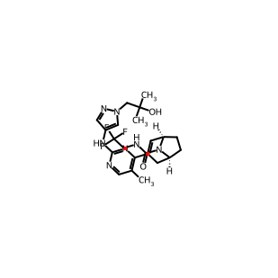 Cc1cnc(Nc2cnn(CC(C)(C)O)c2)nc1C1=C[C@H]2CC[C@@H](C1)N2C(=O)NCC(F)(F)F